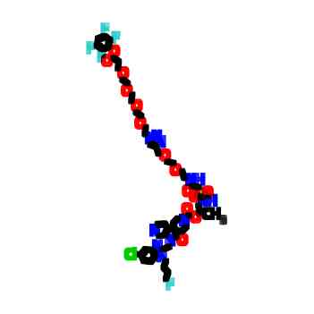 C[C@H](CNS(=O)(=O)CC(=O)NCCOCCOCc1cn(CCOCCOCCOCCOCCC(=O)Oc2c(F)c(F)cc(F)c2F)nn1)OC(=O)N1CCC2(CC1)C(=O)N(Cc1nc3cc(Cl)ccc3n1CCCCF)c1cnccc12